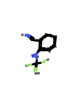 N#Cc1ccccc1NC(F)(F)F